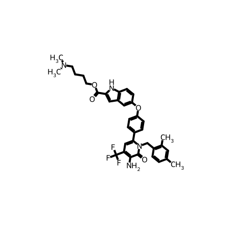 Cc1ccc(Cn2c(-c3ccc(Oc4ccc5[nH]c(C(=O)OCCCCN(C)C)cc5c4)cc3)cc(C(F)(F)F)c(N)c2=O)c(C)c1